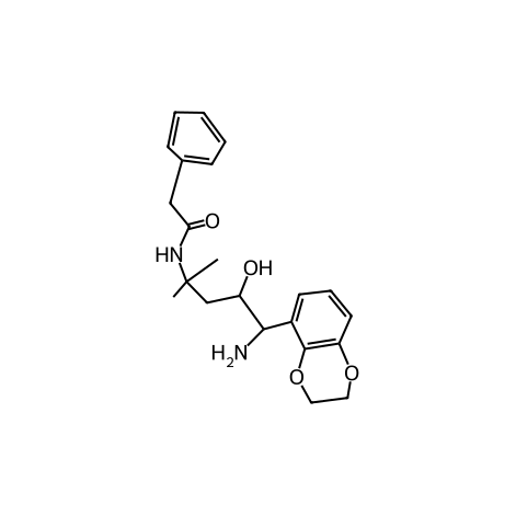 CC(C)(CC(O)C(N)c1cccc2c1OCCO2)NC(=O)Cc1ccccc1